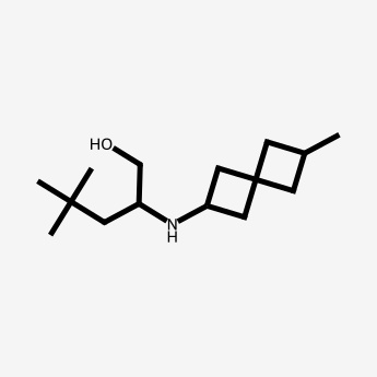 CC1CC2(C1)CC(NC(CO)CC(C)(C)C)C2